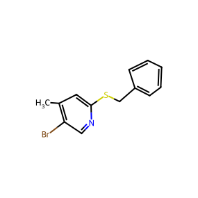 Cc1cc(SCc2ccccc2)ncc1Br